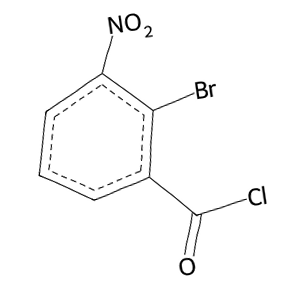 O=C(Cl)c1cccc([N+](=O)[O-])c1Br